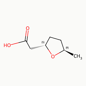 C[C@@H]1CC[C@@H](CC(=O)O)O1